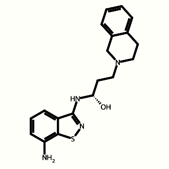 Nc1cccc2c(N[C@@H](O)CCN3CCc4ccccc4C3)nsc12